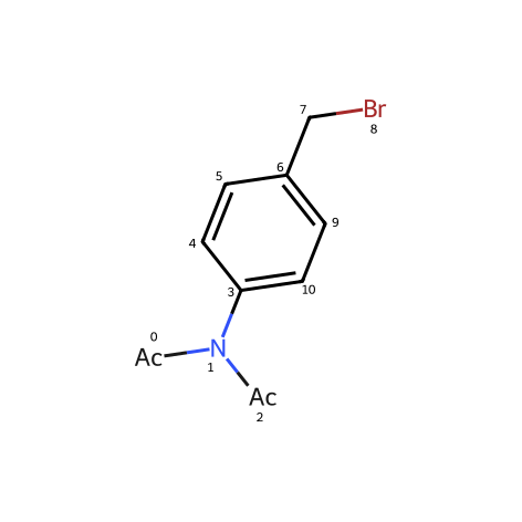 CC(=O)N(C(C)=O)c1ccc(CBr)cc1